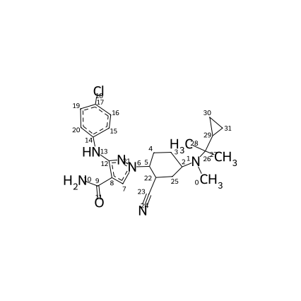 CN(C1CCC(n2cc(C(N)=O)c(Nc3ccc(Cl)cc3)n2)C(C#N)C1)C(C)(C)C1CC1